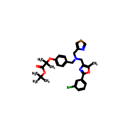 Cc1oc(-c2cccc(Br)c2)nc1CN(Cc1ccc(OC(C)(C)C(=O)OC(C)(C)C)cc1)Cc1cscn1